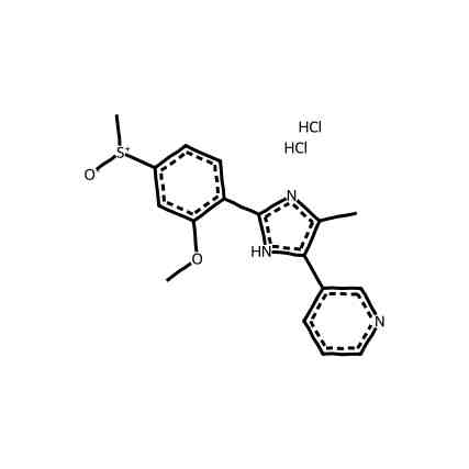 COc1cc([S+](C)[O-])ccc1-c1nc(C)c(-c2cccnc2)[nH]1.Cl.Cl